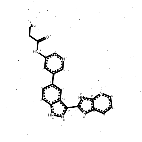 CC(C)(C)CC(=O)Nc1cncc(-c2ccc3[nH]nc(-c4nc5cccnc5[nH]4)c3c2)c1